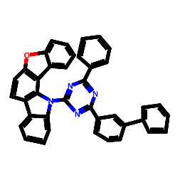 c1ccc(-c2cccc(-c3nc(-c4ccccc4)nc(-n4c5ccccc5c5ccc6oc7ccccc7c6c54)n3)c2)cc1